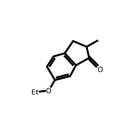 CCOc1ccc2c(c1)C(=O)C(C)C2